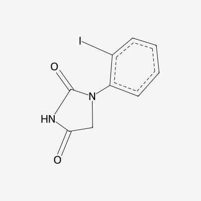 O=C1CN(c2ccccc2I)C(=O)N1